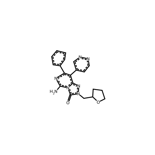 Nc1nc(-c2ccccc2)c(-c2ccnnc2)c2nn(CC3CCCO3)c(=O)n12